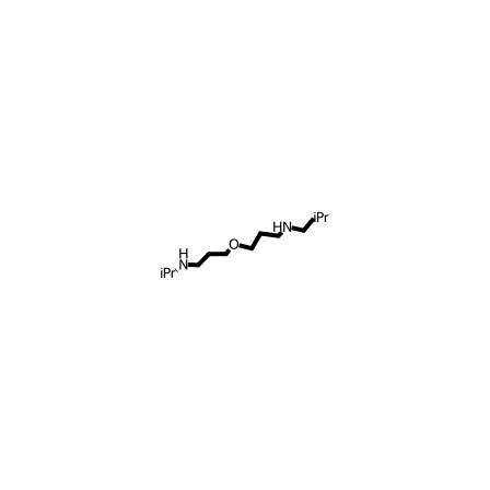 CC(C)CNCCCOCCCNC(C)C